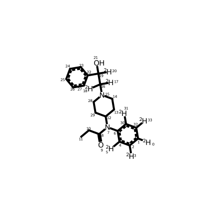 [2H]c1c([2H])c([2H])c(N(C(=O)CC)C2CCN(C([2H])([2H])C([2H])(O)c3ccccc3)CC2)c([2H])c1[2H]